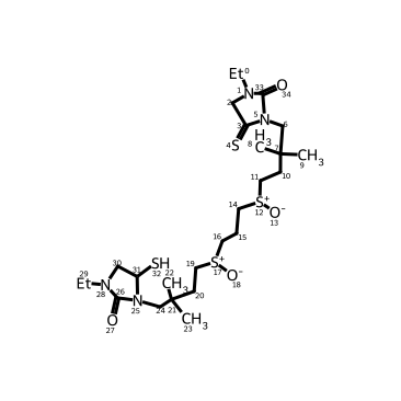 CCN1CC(=S)N(CC(C)(C)CC[S+]([O-])CCC[S+]([O-])CCC(C)(C)CN2C(=O)N(CC)CC2S)C1=O